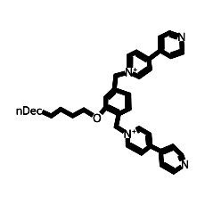 CCCCCCCCCCCCCCOc1cc(C[n+]2ccc(-c3ccncc3)cc2)ccc1C[n+]1ccc(-c2ccncc2)cc1